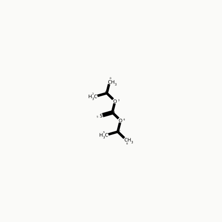 CC(C)OC(=S)OC(C)C